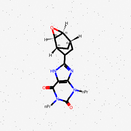 CCCn1c(=O)c2[nH]c(C3C[C@@H]4C[C@H]3[C@H]3O[C@@H]43)nc2n(CCC)c1=O